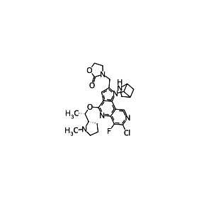 C[C@H](Oc1nc2c(F)c(Cl)ncc2c2c1cc(CN1CCOC1=O)n2C1C2CNC1C2)[C@@H]1CCCN1C